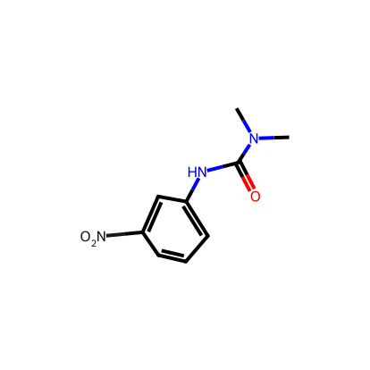 CN(C)C(=O)Nc1cccc([N+](=O)[O-])c1